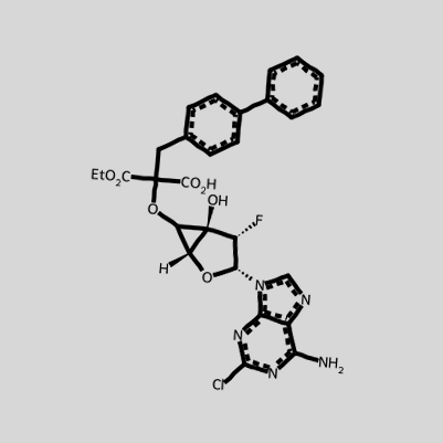 CCOC(=O)C(Cc1ccc(-c2ccccc2)cc1)(OC1[C@H]2O[C@@H](n3cnc4c(N)nc(Cl)nc43)[C@@H](F)[C@@]12O)C(=O)O